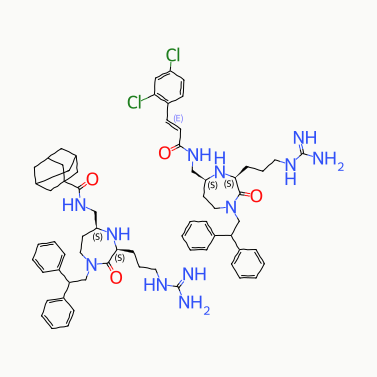 N=C(N)NCCC[C@@H]1N[C@H](CNC(=O)/C=C/c2ccc(Cl)cc2Cl)CCN(CC(c2ccccc2)c2ccccc2)C1=O.N=C(N)NCCC[C@@H]1N[C@H](CNC(=O)C23CC4CC(CC(C4)C2)C3)CCN(CC(c2ccccc2)c2ccccc2)C1=O